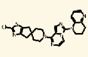 Clc1nc2c(s1)CC1(CCN(c3nccn4c(N5CCCc6ncccc65)ncc34)CC1)C2